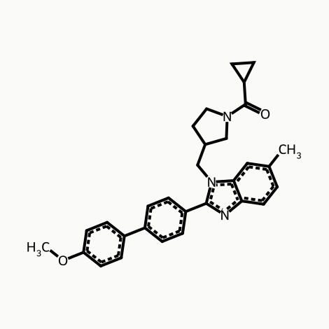 COc1ccc(-c2ccc(-c3nc4ccc(C)cc4n3CC3CCN(C(=O)C4CC4)C3)cc2)cc1